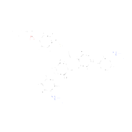 Nc1cccc(-c2ccc(C(=CCSc3ccc(OCC(=O)O)cc3)c3ccc(-c4cccc(N)c4)cc3)cc2)c1